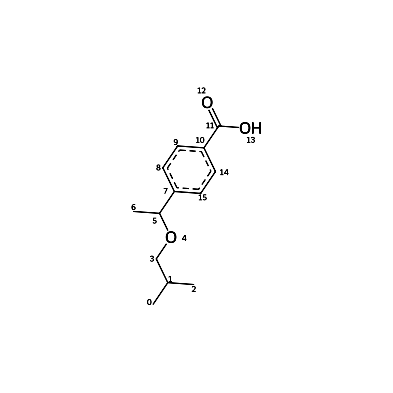 CC(C)COC(C)c1ccc(C(=O)O)cc1